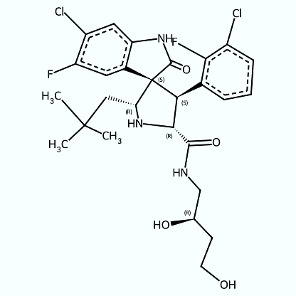 CC(C)(C)C[C@H]1N[C@@H](C(=O)NC[C@H](O)CCO)[C@H](c2cccc(Cl)c2F)[C@@]12C(=O)Nc1cc(Cl)c(F)cc12